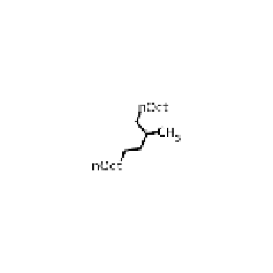 CCCCCCCCCC[C](C)CCCCCCCCC